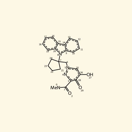 CNC(=O)c1nn(CC2(n3c4ccccc4c4ccccc43)CCCC2)cc(O)c1=O